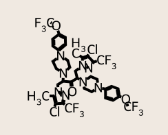 Cc1c(Cl)c(C(F)(F)F)nn1CC(C(=O)C(Cn1nc(C(F)(F)F)c(Cl)c1C)N1CCN(c2ccc(OC(F)(F)F)cc2)CC1)N1CCN(c2ccc(OC(F)(F)F)cc2)CC1